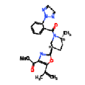 C=C(C)c1oc([C@@H]2CC[C@@H](C)N(C(=O)c3ccccc3-n3nccn3)C2)nc1C(=O)OC